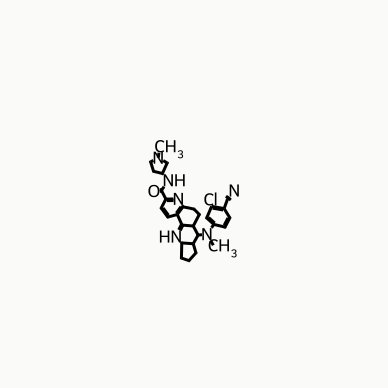 CN1CC[C@H](NC(=O)c2ccc3c(n2)CCC(C(C2CCCC2)N(C)c2ccc(C#N)c(Cl)c2)C3=N)C1